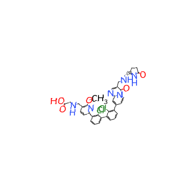 COc1nc(-c2cccc(-c3cccc(-c4ccn5c(=O)c(CNC[C@@H]6CCC(=O)N6)cnc5c4)c3Cl)c2Cl)ccc1CNCC(=O)O